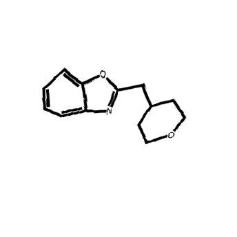 c1ccc2oc(CC3CCOCC3)nc2c1